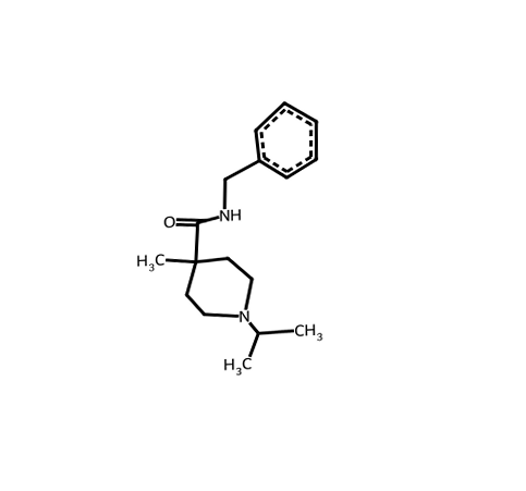 CC(C)N1CCC(C)(C(=O)NCc2ccccc2)CC1